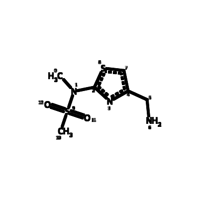 CN(c1nc(CN)cs1)S(C)(=O)=O